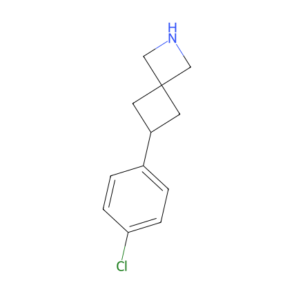 Clc1ccc(C2CC3(CNC3)C2)cc1